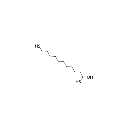 OC(S)CCCCCCCCCCS